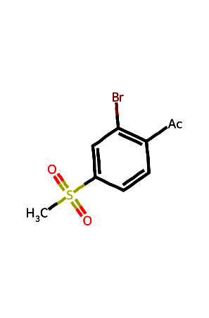 CC(=O)c1ccc(S(C)(=O)=O)cc1Br